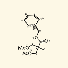 COCC(C)(COC(C)=O)C(=O)OCc1ccccc1